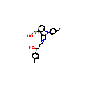 Cc1ccc(C(O)CCCN2Cc3c(n(-c4ccc(F)cc4)c4cccc(F)c34)C2)cc1.O=S(=O)(O)O